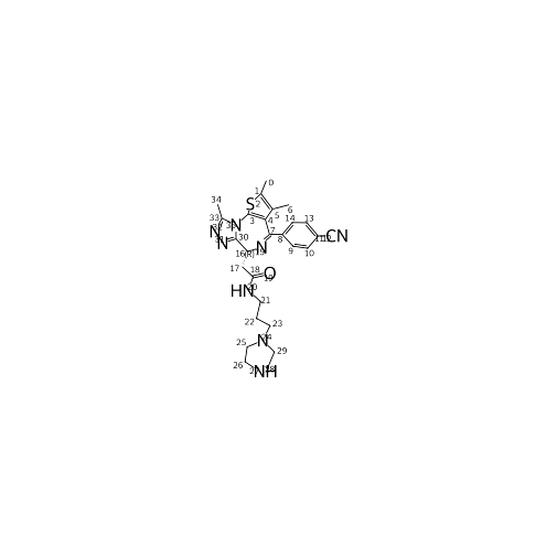 Cc1sc2c(c1C)C(c1ccc(C#N)cc1)=N[C@H](CC(=O)NCCCN1CCNCC1)c1nnc(C)n1-2